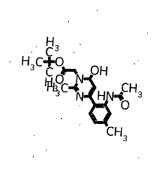 CC(=O)Nc1cc(C)ccc1C1=CC(O)N(CC(=O)OC(C)(C)C)C(C)=N1